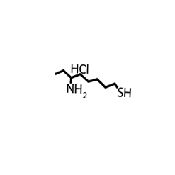 CCC(N)CCCCCS.Cl